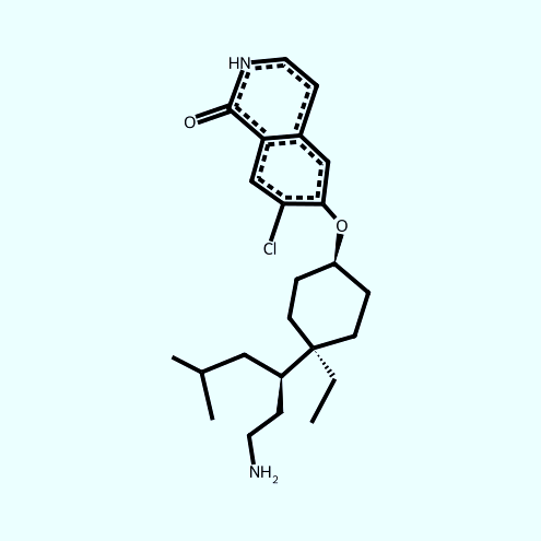 CC[C@]1([C@@H](CCN)CC(C)C)CC[C@@H](Oc2cc3cc[nH]c(=O)c3cc2Cl)CC1